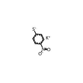 O=[N+]([O-])c1ccc([S-])cc1.[K+]